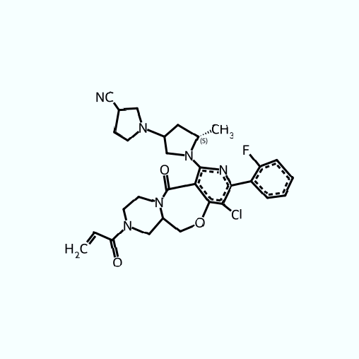 C=CC(=O)N1CCN2C(=O)c3c(N4CC(N5CCC(C#N)C5)C[C@@H]4C)nc(-c4ccccc4F)c(Cl)c3OCC2C1